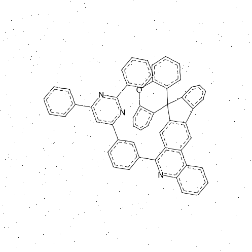 c1ccc(-c2cc(-c3cccc(-c4nc5ccccc5c5cc6c(cc45)C4(c5ccccc5Oc5ccccc54)c4ccccc4-6)c3)nc(-c3ccccc3)n2)cc1